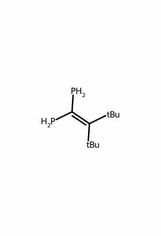 CC(C)(C)C(=C(P)P)C(C)(C)C